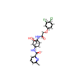 Cc1cccc(C(=O)NC23CCC(NC(=O)COc4ccc(Cl)c(F)c4)(CC2)C(O)C3)n1